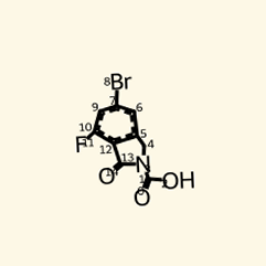 O=C(O)N1Cc2cc(Br)cc(F)c2C1=O